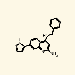 Nc1cc(NCc2ccccc2)c2ccc(-c3ccn[nH]3)cc2n1